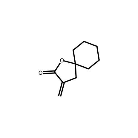 C=C1CC2(CCCCC2)OC1=O